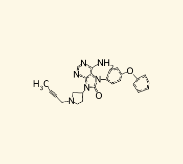 CC#CCN1CCC(n2c(=O)n(-c3ccc(Oc4ccccc4)cc3)c3c(N)ncnc32)C1